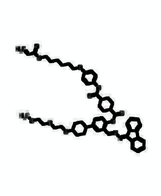 C=CC(=O)OCCCCCCOc1ccc(OC(=O)C2CCC(C(=O)Oc3ccc(C4CCC(OCCOCCOC)CC4)cc3/C=N/N=C3c4ccccc4-c4ccccc43)CC2)cc1